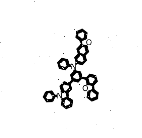 c1ccc(N(c2cc(-c3ccc4c(c3)c3ccccc3n4-c3ccccc3)cc(-c3cccc4c3oc3ccccc34)c2)c2ccc3cc4oc5ccccc5c4cc3c2)cc1